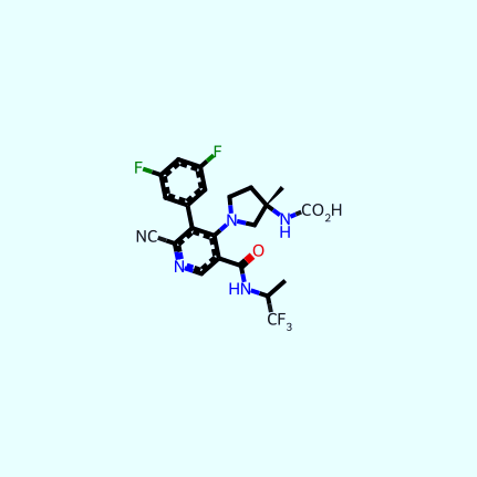 CC(NC(=O)c1cnc(C#N)c(-c2cc(F)cc(F)c2)c1N1CC[C@](C)(NC(=O)O)C1)C(F)(F)F